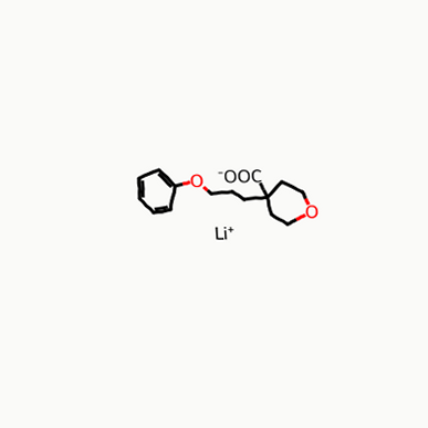 O=C([O-])C1(CCCOc2ccccc2)CCOCC1.[Li+]